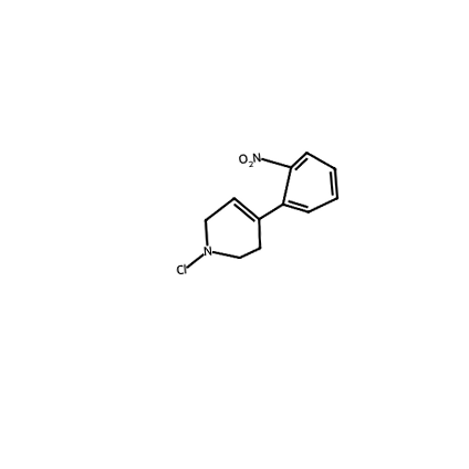 O=[N+]([O-])c1ccccc1C1=CCN(Cl)CC1